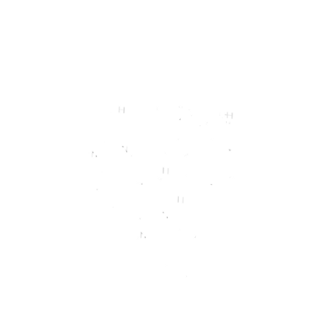 CCc1nc2ccc(-c3nc4ccccc4n3C)cc2n1-c1cccc(-c2ccccc2C(=O)O)c1C